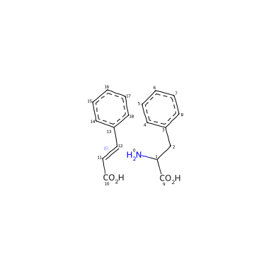 NC(Cc1ccccc1)C(=O)O.O=C(O)/C=C/c1ccccc1